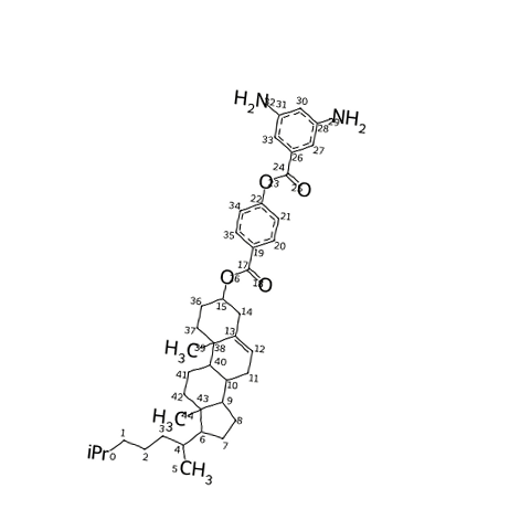 CC(C)CCCC(C)C1CCC2C3CC=C4CC(OC(=O)c5ccc(OC(=O)c6cc(N)cc(N)c6)cc5)CCC4(C)C3CCC12C